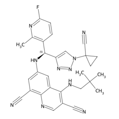 Cc1nc(F)ccc1[C@H](Nc1cc(C#N)c2ncc(C#N)c(NCC(C)(C)C)c2c1)c1cn(C2(C#N)CC2)nn1